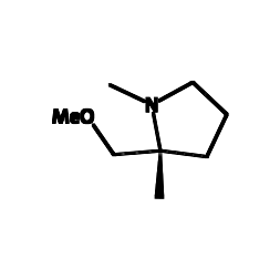 COC[C@@]1(C)CCCN1C